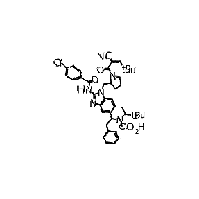 CC(N(C(=O)O)C(Cc1ccccc1)c1ccc2c(c1)nc(NC(=O)c1ccc(Cl)cc1)n2CC1CCCN1C(=O)C(C#N)=CC(C)(C)C)C(C)(C)C